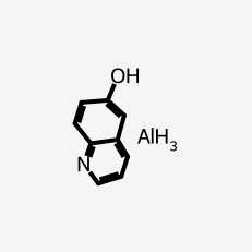 Oc1ccc2ncccc2c1.[AlH3]